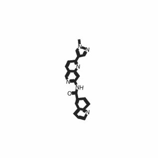 Cn1cc(-c2ccc3cnc(NC(=O)c4ccc5ncccc5c4)cc3n2)cn1